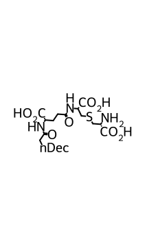 CCCCCCCCCCCC(=O)N[C@H](CCC(=O)N[C@H](CSC[C@H](N)C(=O)O)C(=O)O)C(=O)O